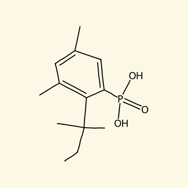 CCC(C)(C)c1c(C)cc(C)cc1P(=O)(O)O